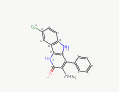 CC(=O)Nc1c(-c2ccccc2)c2[nH]c3ccc(Br)cc3c2[nH]c1=O